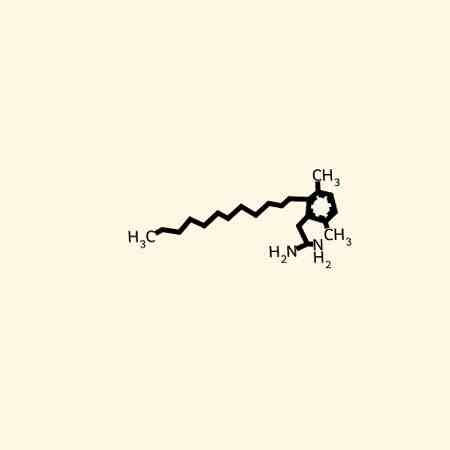 CCCCCCCCCCCCc1c(C)ccc(C)c1CC(N)N